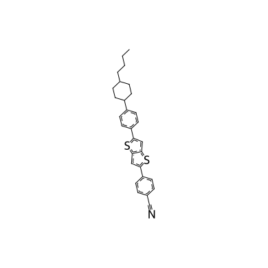 CCCCC1CCC(c2ccc(-c3cc4sc(-c5ccc(C#N)cc5)cc4s3)cc2)CC1